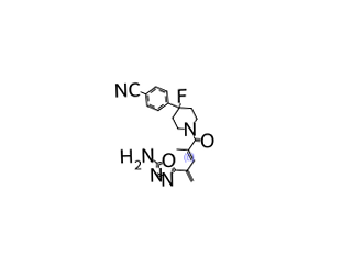 C=C(/C=C(\C)C(=O)N1CCC(F)(c2ccc(C#N)cc2)CC1)c1nnc(N)o1